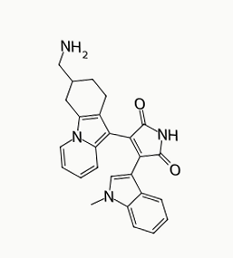 Cn1cc(C2=C(c3c4c(n5ccccc35)CC(CN)CC4)C(=O)NC2=O)c2ccccc21